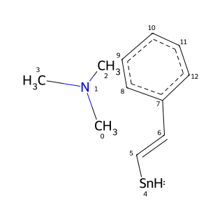 CN(C)C.[SnH][CH]=Cc1ccccc1